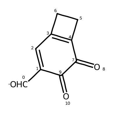 O=[C]C1=CC2=C(CC2)C(=O)C1=O